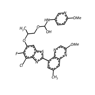 COc1ccc(NC(O)OCC(C)Oc2cc3sc(-c4cc(C)cc5nc(OC)cnc45)nc3c(Cl)c2F)cn1